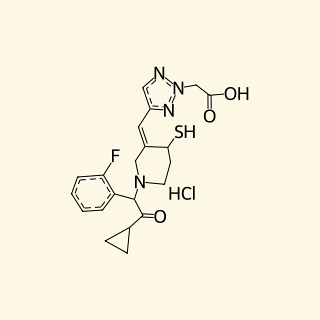 Cl.O=C(O)Cn1ncc(/C=C2/CN(C(C(=O)C3CC3)c3ccccc3F)CCC2S)n1